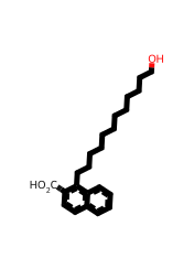 O=C(O)c1ccc2ccccc2c1CCCCCCCCCCCCO